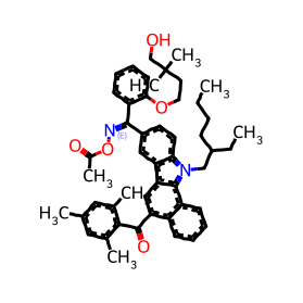 CCCCC(CC)Cn1c2ccc(/C(=N\OC(C)=O)c3ccccc3OCCC(C)(C)CO)cc2c2cc(C(=O)c3c(C)cc(C)cc3C)c3ccccc3c21